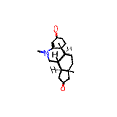 CN1C[C@H]2[C@@H]3CC(=O)C[C@@]3(C)CC[C@@H]2[C@@]2(C)CCC(=O)C=C12